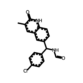 Cc1cc2cc(C(NC=O)c3ccc(Cl)cc3)ccc2[nH]c1=O